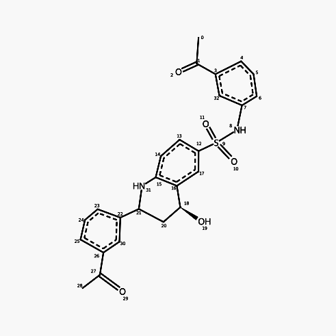 CC(=O)c1cccc(NS(=O)(=O)c2ccc3c(c2)[C@@H](O)CC(c2cccc(C(C)=O)c2)N3)c1